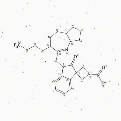 CC(C)C(=O)N1CC2(C1)C(=O)N(CC1=NC3CCCC3CCC1CCCC(F)(F)F)c1ccccc12